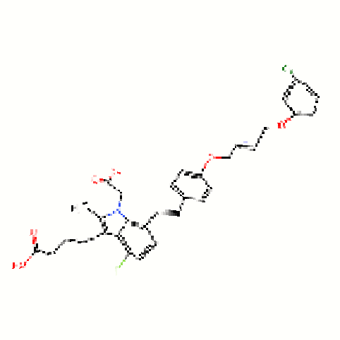 Cc1c(CCCC(=O)O)c2c(F)ccc(C=Cc3ccc(OC/C=C/COc4cccc(Cl)c4)cc3)c2n1CC(=O)O